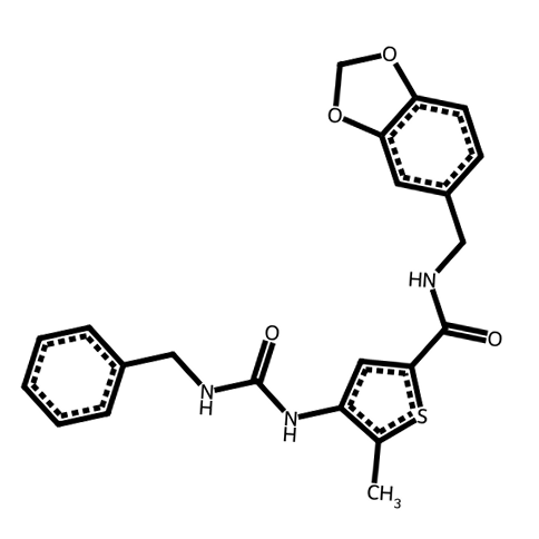 Cc1sc(C(=O)NCc2ccc3c(c2)OCO3)cc1NC(=O)NCc1ccccc1